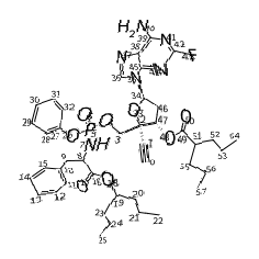 C#C[C@]1(CO[P@@](=O)(NC(Cc2ccccc2)C(=O)OC(CCC)CCC)Oc2ccccc2)O[C@@H](n2cnc3c(N)nc(F)nc32)C[C@@H]1OC(=O)C(CCC)CCC